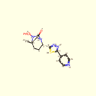 O=C1N(O)[C@H]2CC[C@@H](c3nnc(-c4ccncc4)s3)N1C2